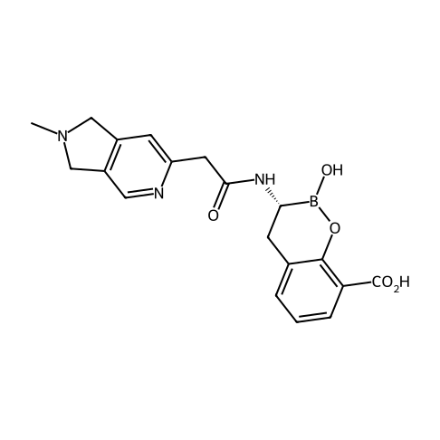 CN1Cc2cnc(CC(=O)N[C@H]3Cc4cccc(C(=O)O)c4OB3O)cc2C1